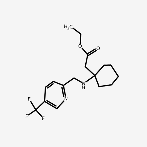 CCOC(=O)CC1(NCc2ccc(C(F)(F)F)cn2)CCCCC1